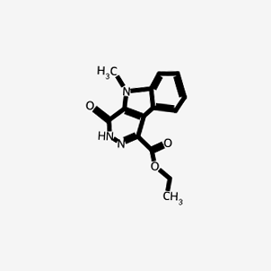 CCOC(=O)c1n[nH]c(=O)c2c1c1ccccc1n2C